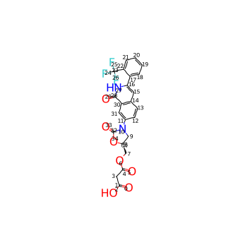 O=C(O)CC(=O)OC[C@@H]1CN(c2ccc3cc(-c4ccccc4C(F)(F)F)[nH]c(=O)c3c2)C(=O)O1